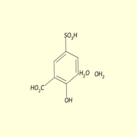 O.O.O=C(O)c1cc(S(=O)(=O)O)ccc1O